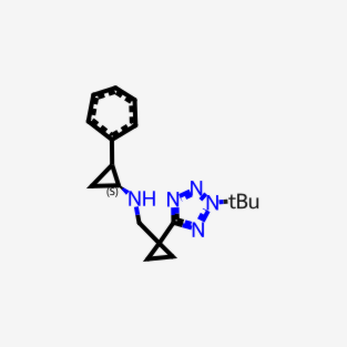 CC(C)(C)n1nnc(C2(CN[C@H]3CC3c3ccccc3)CC2)n1